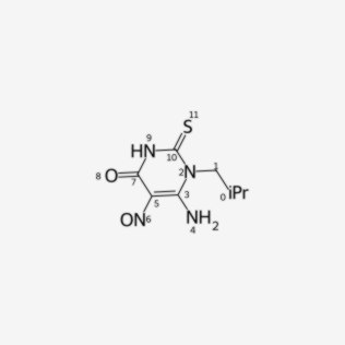 CC(C)Cn1c(N)c(N=O)c(=O)[nH]c1=S